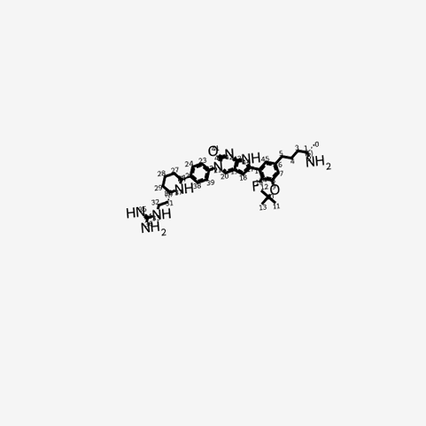 C[C@H](N)CCCc1cc(OC(C)(C)C)c(F)c(-c2cc3cn(-c4ccc([C@@H]5CCC[C@@H](CCNC(=N)N)N5)cc4)c(=O)nc3[nH]2)c1